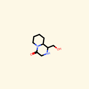 O=C1CNC(CO)C2CCCCN12